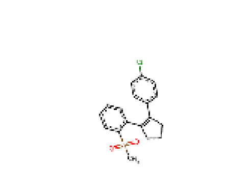 CS(=O)(=O)c1ccccc1C1=C(c2ccc(Cl)cc2)CCC1